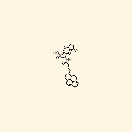 O=C(CCCc1ccc2ccc3cccc4ccc1c2c34)NC(CS(=O)(=O)O)C(=O)ON1C(=O)CCC1=O